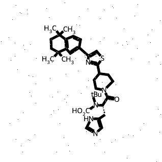 CC1(C)CCC(C)(C)c2cc(-c3csc(C4CCN(C(=O)[C@H](Cc5cnc[nH]5)N(C(=O)O)C(C)(C)C)CC4)n3)ccc21